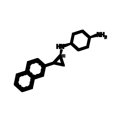 N[C@H]1CC[C@@H](N[C@@H]2CC2c2ccc3ccccc3c2)CC1